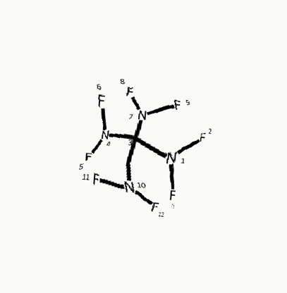 FN(F)C(N(F)F)(N(F)F)N(F)F